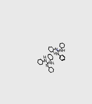 C1CCC(N=C(NC2CCCCC2)NC2CCCCC2)CC1.c1ccc(N/C(=N\C2CCCCC2)NC2CCCCC2)cc1